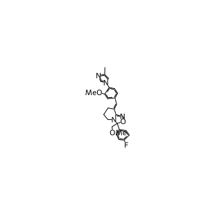 COCC1(c2ccc(F)cc2)ON=C2C(=Cc3ccc(-n4cnc(C)c4)c(OC)c3)CCCN21